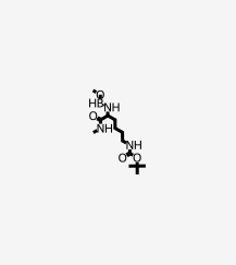 CNC(=O)C(CCCCNC(=O)OC(C)(C)C)NBOC